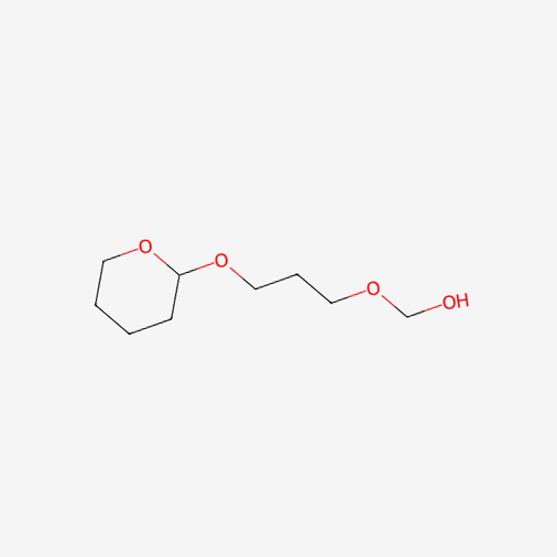 OCOCCCOC1CCCCO1